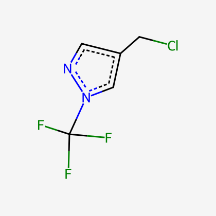 FC(F)(F)n1cc(CCl)cn1